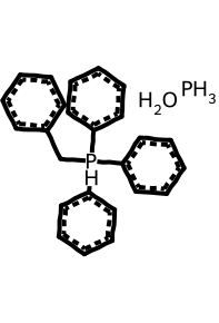 O.P.c1ccc(C[PH](c2ccccc2)(c2ccccc2)c2ccccc2)cc1